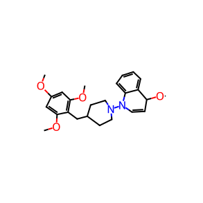 COc1cc(OC)c(CC2CCN(N3C=CC([O])c4ccccc43)CC2)c(OC)c1